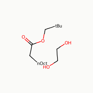 CCCCCCCCCC(=O)OCC(C)(C)C.OCCO